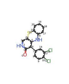 O=c1[nH]cc2c(c1-c1ccc(Cl)c(Cl)c1)Nc1ccccc1S2